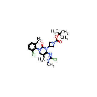 C=N/C(Cl)=N\C1=C(C)CN(c2c(C)cccc2Cl)C(=O)N1C1CN(C(=O)OC(C)(C)C)C1